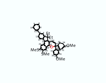 CCC1(CC)c2cc(-c3ccccc3)ccc2-c2c1c1c(c3cc(SC)c(SC)cc23)OC(C2=CC=C(OC)CC2)(c2ccc(OC)cc2)C=C1